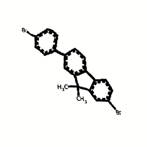 CC1(C)c2cc(Br)ccc2-c2ccc(-c3ccc(Br)cc3)cc21